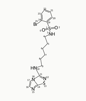 O=S(=O)(NCCCCCCNc1nsc2nccn12)c1ccccc1Br